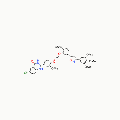 COc1cc(C2NC(=O)c3cc(Cl)ccc3N2)ccc1OCCOc1cc(C2CC(c3cc(OC)c(OC)c(OC)c3)=NO2)ccc1OC